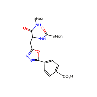 CCCCCCCCCC(=O)NC(Cc1nnc(-c2ccc(C(=O)O)cc2)o1)C(=O)NCCCCCC